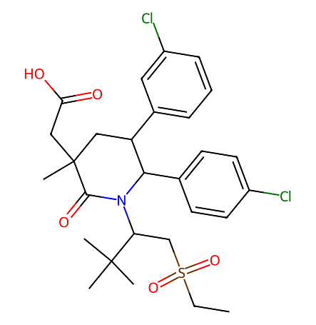 CCS(=O)(=O)CC(N1C(=O)C(C)(CC(=O)O)CC(c2cccc(Cl)c2)C1c1ccc(Cl)cc1)C(C)(C)C